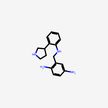 Nc1ccc(N)c(CNc2ccccc2C2CCNC2)c1